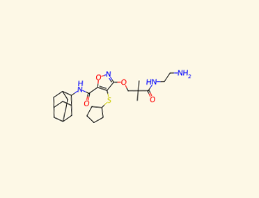 CC(C)(COc1noc(C(=O)NC2C3CC4CC(C3)CC2C4)c1SC1CCCC1)C(=O)NCCN